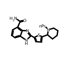 CCCN1CCCCC1c1ccc(-c2nc3c(C(N)=O)cccc3[nH]2)s1